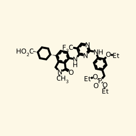 CCOc1cc(CP(=O)(OCC)OCC)ccc1Nc1ncc(C(F)(F)F)c(Nc2ccc([C@H]3CC[C@@H](C(=O)O)CC3)c3c2C(=O)N(C)C3)n1